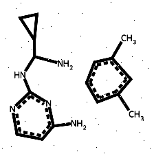 Cc1cccc(C)c1.Nc1ccnc(NC(N)C2CC2)n1